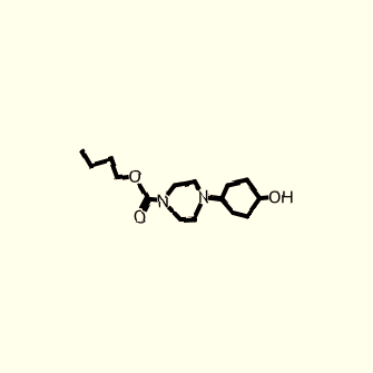 CCCCOC(=O)N1CCN(C2CCC(O)CC2)CC1